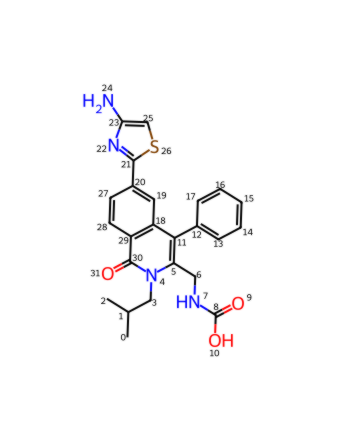 CC(C)Cn1c(CNC(=O)O)c(-c2ccccc2)c2cc(-c3nc(N)cs3)ccc2c1=O